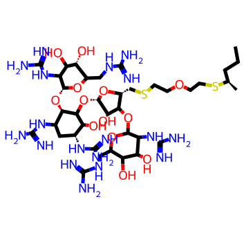 CCC[C@@H](C)SCCOCCSC[C@H]1O[C@@H](OC2C(O)[C@H](NC(=N)N)CC(NC(=N)N)[C@H]2O[C@H]2OC(CNC(=N)N)[C@@H](O)C(O)C2NC(=N)N)[C@@H](O)C1OC1OC(CNC(=N)N)C(O)C(O)C1NC(=N)N